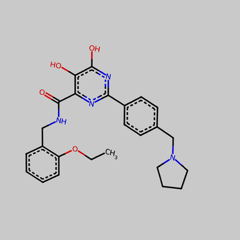 CCOc1ccccc1CNC(=O)c1nc(-c2ccc(CN3CCCC3)cc2)nc(O)c1O